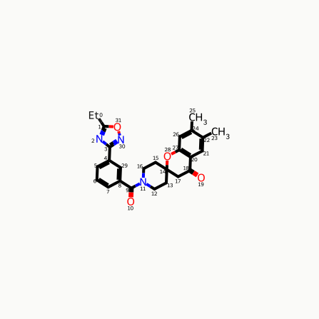 CCc1nc(-c2cccc(C(=O)N3CCC4(CC3)CC(=O)c3cc(C)c(C)cc3O4)c2)no1